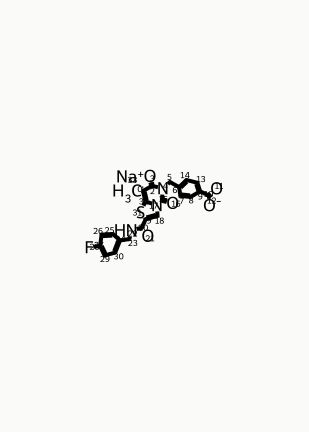 Cc1c(=O)n(Cc2ccc(C(=O)[O-])cc2)c(=O)n2cc(C(=O)NCc3ccc(F)cc3)sc12.[Na+]